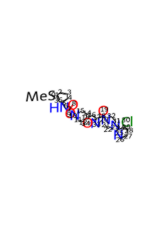 CSc1cccc(NC(=O)ON2CCC3(CC2)CC(C(=O)N2CCN(c4ncccc4Cl)CC2)=NO3)c1